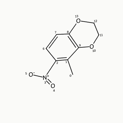 Cc1c([N+](=O)[O-])ccc2c1OCCO2